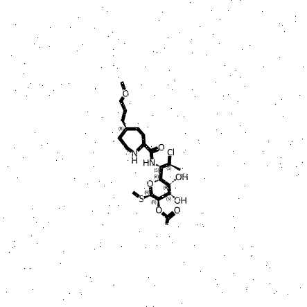 COCCC[C@@H]1CCNC(C(=O)N[C@@H]([C@H]2O[C@H](SC)[C@H](OC(C)=O)[C@@H](O)[C@H]2O)[C@H](C)Cl)CC1